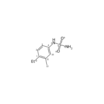 CCc1ccc(NS(N)(=O)=O)cc1C